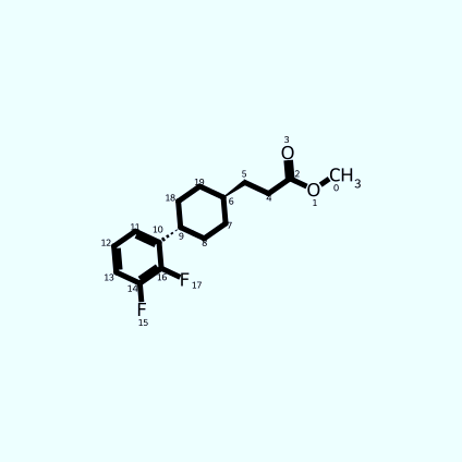 COC(=O)CC[C@H]1CC[C@H](c2cccc(F)c2F)CC1